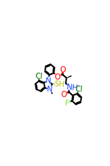 C[C@@H](CNC(=O)c1c(F)cccc1Cl)C(=O)Oc1ccccc1N1c2c(Cl)cccc2N(C)[C@@H]1S